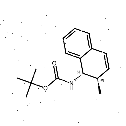 C[C@@H]1C=Cc2ccccc2[C@H]1NC(=O)OC(C)(C)C